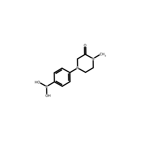 CN1CCN(c2ccc(B(O)O)cc2)CC1=O